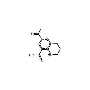 CC(=O)c1cc2c(c(C(=O)O)c1)NCCC2